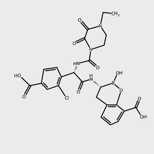 CCN1CCN(C(=O)N[C@H](C(=O)N[C@H]2Cc3cccc(C(=O)O)c3OB2O)c2ccc(C(=O)O)cc2Cl)C(=O)C1=O